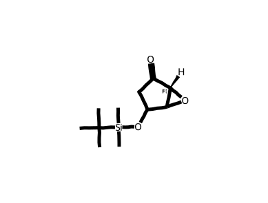 CC(C)(C)[Si](C)(C)OC1CC(=O)[C@@H]2OC12